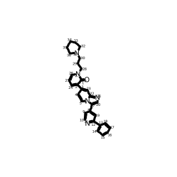 O=c1c(-c2ccn3c(-c4ccnc(-c5ccccc5)c4)cnc3c2)cccn1CCCN1CCCCC1